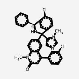 Cn1cncc1C1(c2ccc3c(c2)c(-c2cccc(Cl)c2)cc(=O)n3C)N[C@@H](c2ccccc2)c2cc1ccc2Cl